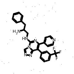 NC(CNc1nc(-c2ccncc2)c(-c2cccc(C(F)(F)F)c2)c2nncn12)Cc1ccccc1